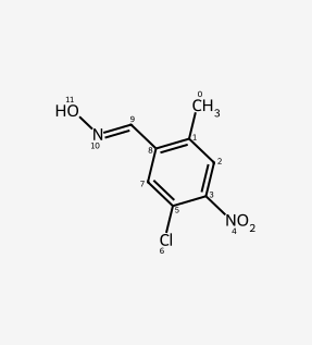 Cc1cc([N+](=O)[O-])c(Cl)cc1C=NO